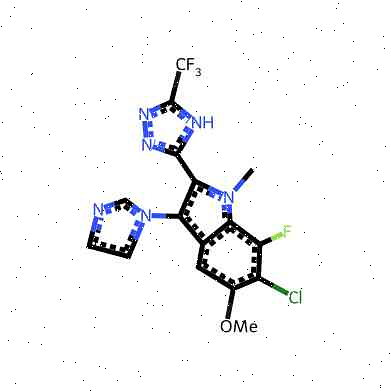 COc1cc2c(-n3ccnc3)c(-c3nnc(C(F)(F)F)[nH]3)n(C)c2c(F)c1Cl